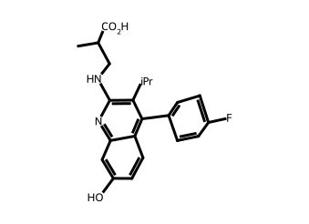 CC(CNc1nc2cc(O)ccc2c(-c2ccc(F)cc2)c1C(C)C)C(=O)O